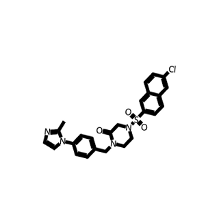 Cc1nccn1-c1ccc(CN2CCN(S(=O)(=O)c3ccc4cc(Cl)ccc4c3)CC2=O)cc1